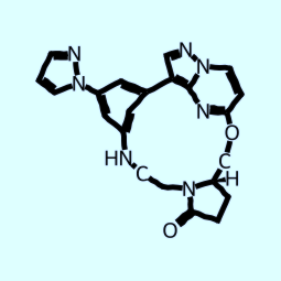 O=C1CC[C@H]2COc3ccn4ncc(c4n3)-c3cc(cc(-n4cccn4)c3)NCCN12